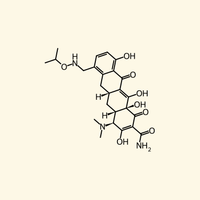 CC(C)ONCc1ccc(O)c2c1C[C@H]1C[C@H]3[C@H](N(C)C)C(O)=C(C(N)=O)C(=O)[C@@]3(O)C(O)=C1C2=O